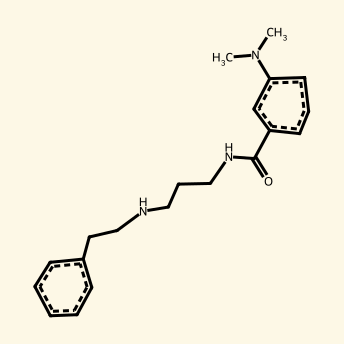 CN(C)c1cccc(C(=O)NCCCNCCc2ccccc2)c1